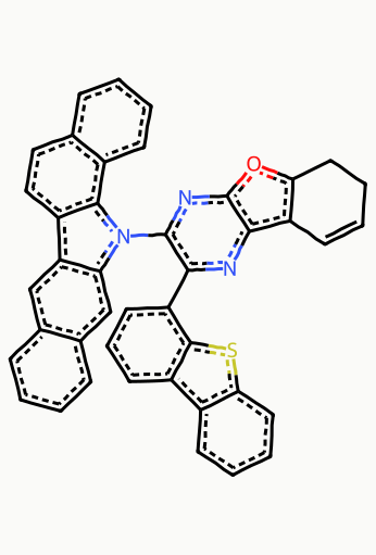 C1=Cc2c(oc3nc(-n4c5cc6ccccc6cc5c5ccc6ccccc6c54)c(-c4cccc5c4sc4ccccc45)nc23)CC1